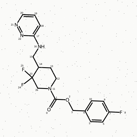 O=C(OCc1ccc(F)cc1)N1CCC(CNc2cccnn2)C(F)(F)C1